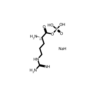 N=C(N)NCCC[C@H](N)C(=O)OP(=O)(O)O.[NaH]